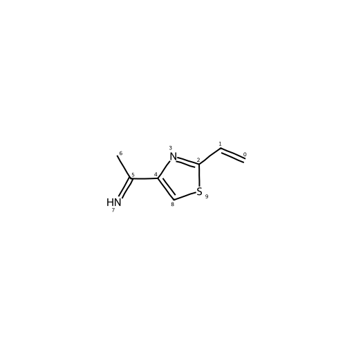 C=Cc1nc(C(C)=N)cs1